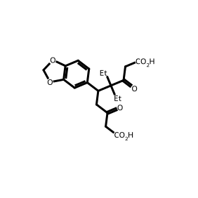 CCC(CC)(C(=O)CC(=O)O)C(CC(=O)CC(=O)O)c1ccc2c(c1)OCO2